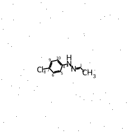 CC=NNc1ccc(Cl)cc1